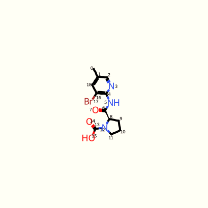 Cc1cnc(NC(=O)[C@H]2CCCN2C(=O)O)c(Br)c1